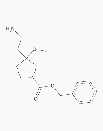 COC1(CCN)CCN(C(=O)OCc2ccccc2)C1